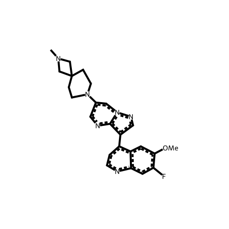 COc1cc2c(-c3cnn4cc(N5CCC6(CC5)CN(C)C6)cnc34)ccnc2cc1F